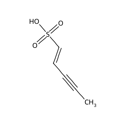 CC#CC=CS(=O)(=O)O